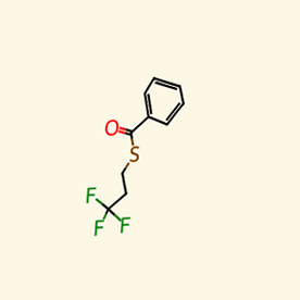 O=C(SCCC(F)(F)F)c1ccccc1